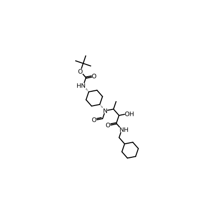 CC(C(O)C(=O)NCC1CCCCC1)N(C=O)[C@H]1CC[C@@H](NC(=O)OC(C)(C)C)CC1